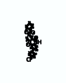 O=C(C(=O)N1CCN2C(=O)c3cc(-c4ccc(Cl)cc4)ccc3NC(=O)C2C1)C1=CC=CCC1